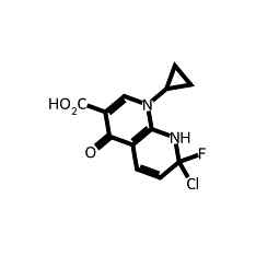 O=C(O)c1cn(C2CC2)c2c(c1=O)C=CC(F)(Cl)N2